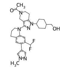 CC(=O)N1CCc2c(c(N3CCCc4cc(-c5cnn(C)c5)c(C(F)F)cc43)nn2C2CCC(CO)CC2)C1